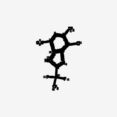 O=[N+]([O-])c1cc(C(F)(F)F)c(Cl)c2nc(C(F)(F)C(F)(F)F)[nH]c12